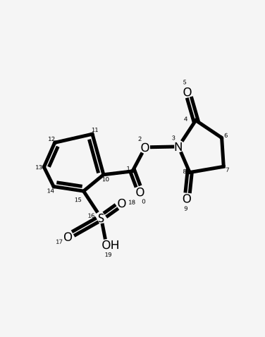 O=C(ON1C(=O)CCC1=O)c1ccccc1S(=O)(=O)O